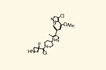 COc1cc(-c2cnn(C3CCN(C(=O)C4(F)CNC4)CC3)c2C)cn2ncc(Cl)c12